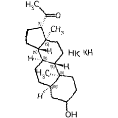 CC(=O)[C@H]1CC[C@H]2[C@@H]3CC[C@@H]4CC(O)CC[C@]4(C)[C@H]3CC[C@]12C.[KH].[KH]